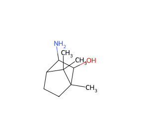 CC1(C)C2CCC1(C)C(O)C2N